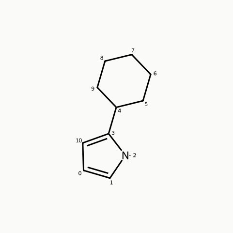 C1=C[N]C(C2CCCCC2)=C1